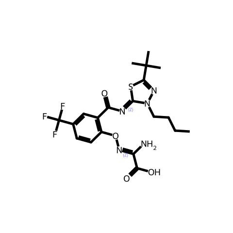 CCCCn1nc(C(C)(C)C)s/c1=N\C(=O)c1cc(C(F)(F)F)ccc1O/N=C(\N)C(=O)O